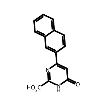 O=C(O)c1nc(-c2ccc3ccccc3c2)cc(=O)[nH]1